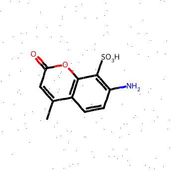 Cc1cc(=O)oc2c(S(=O)(=O)O)c(N)ccc12